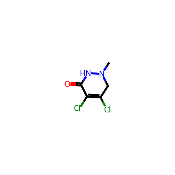 CN1CC(Cl)=C(Cl)C(=O)N1